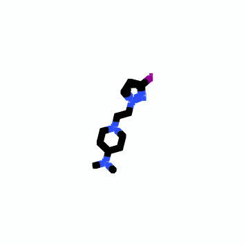 CN(C)C1CCN(CCn2ccc(I)n2)CC1